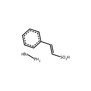 CCCCP.O=S(=O)(O)C=Cc1ccccc1